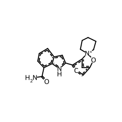 NC(=O)c1cccc2cc(-c3ccc4cc3[N+]3(CCCCC3)O4)[nH]c12